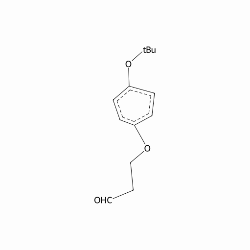 CC(C)(C)Oc1ccc(OCCC=O)cc1